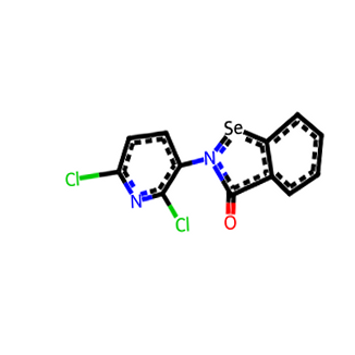 O=c1c2ccccc2[se]n1-c1ccc(Cl)nc1Cl